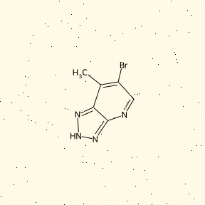 Cc1c(Br)cnc2n[nH]nc12